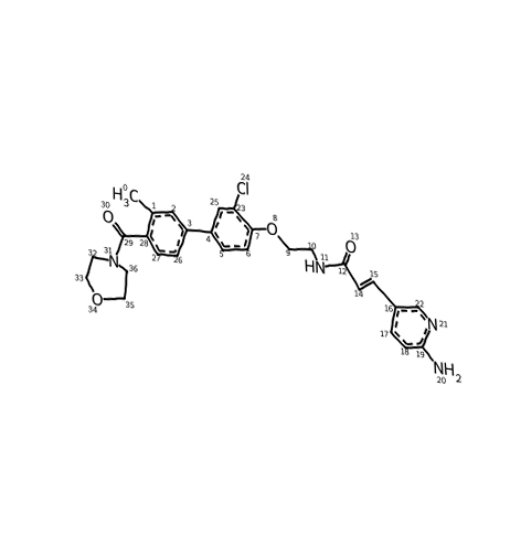 Cc1cc(-c2ccc(OCCNC(=O)C=Cc3ccc(N)nc3)c(Cl)c2)ccc1C(=O)N1CCOCC1